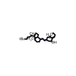 C[C@H](CCCC(C)(C)C)C1CCC2/C(=C/C=C3/C[C@@H](O)C4=CCCO[C@@H]4C3)CCC[C@@]21C